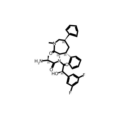 C[C@H](N)C(=O)N(C(=O)[C@H](O)c1cc(F)cc(F)c1)[C@@H]1C(=O)N(C)C[C@@H](c2ccccc2)C[C@@H]1c1ccccc1